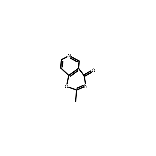 Cc1nc(=O)c2cnccc2o1